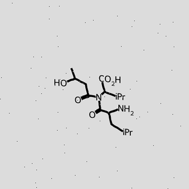 CC(C)CC(N)C(=O)N(C(=O)CC(C)O)C(C(=O)O)C(C)C